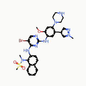 COc1cc(N2CCNCC2)c(-c2cnn(C)c2)cc1Nc1ncc(Br)c(Nc2ccc3ccccc3c2N(C)S(C)(=O)=O)n1